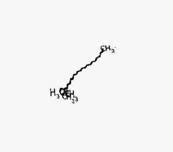 [CH2]CCCCCCCCCCCCCCCCCCC[CH2][Ge]([CH3])([CH3])[CH3]